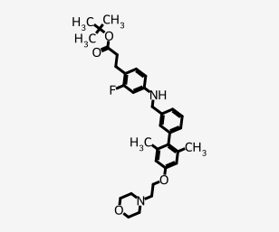 Cc1cc(OCCN2CCOCC2)cc(C)c1-c1cccc(CNc2ccc(CCC(=O)OC(C)(C)C)c(F)c2)c1